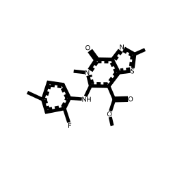 COC(=O)c1c(Nc2ccc(C)cc2F)n(C)c(=O)c2nc(C)sc12